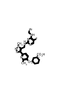 Cc1nc(-c2nnn(C)c2CNc2ncc(F)c(NCC(C)C)n2)ccc1O[C@H]1CCC[C@H](C(=O)O)C1